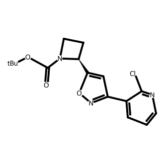 CC(C)(C)OC(=O)N1CC[C@H]1c1cc(-c2cccnc2Cl)no1